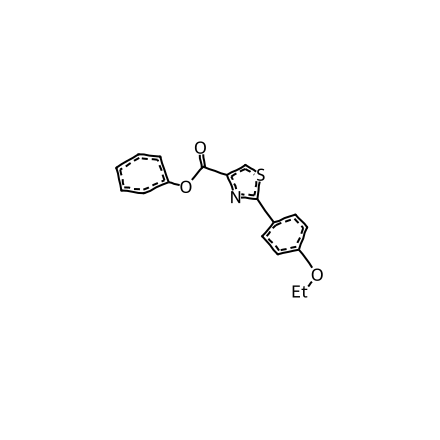 CCOc1ccc(-c2nc(C(=O)Oc3ccccc3)cs2)cc1